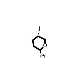 CC(C)[C@H]1CC[C@H](I)CO1